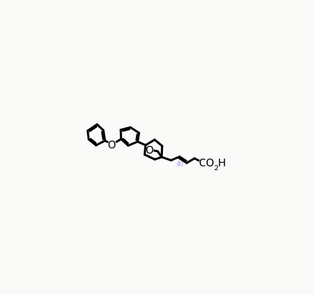 O=C(O)C/C=C/CC12CCC(c3cccc(Oc4ccccc4)c3)(CC1)OC2